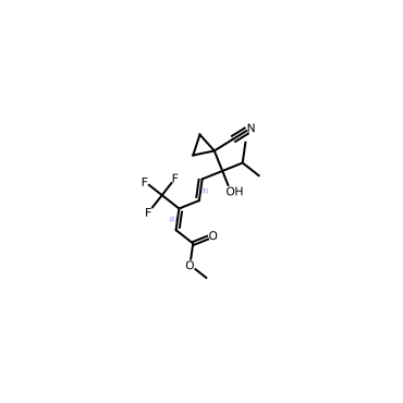 COC(=O)/C=C(\C=C\C(O)(C(C)C)C1(C#N)CC1)C(F)(F)F